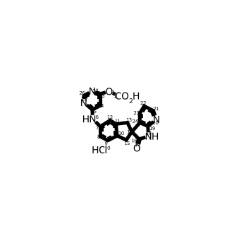 Cl.O=C(O)Oc1cc(Nc2ccc3c(c2)CC2(C3)C(=O)Nc3ncccc32)ncn1